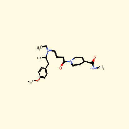 CCN(CCCC(=O)N1CCC(C(=O)NC)CC1)C(C)Cc1ccc(OC)cc1